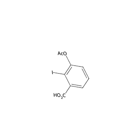 CC(=O)Oc1cccc(C(=O)O)c1I